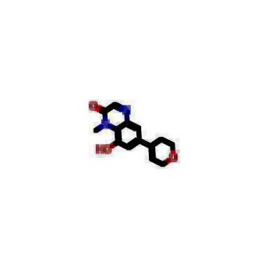 Cn1c(=O)cnc2cc(C3=CCOCC3)cc(O)c21